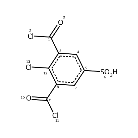 O=C(Cl)c1cc(S(=O)(=O)O)cc(C(=O)Cl)c1Cl